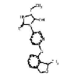 CC[C@H]1NC(=O)N(c2ccc(Oc3cccc4c3C(C)OC4)nc2)C1O